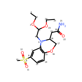 CCOC(CN1c2cc(S(C)(=O)=O)ccc2OCC1CC(N)=O)OCC